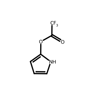 O=C(Oc1ccc[nH]1)C(F)(F)F